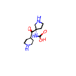 O=C(O)N[C@@]1(C(=O)C2CCNCC2)CCNC1